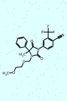 COCCOCN1C(=O)N(c2ccc(C#N)c(C(F)(F)F)c2)C(=O)C1(C)c1cc[c]cc1